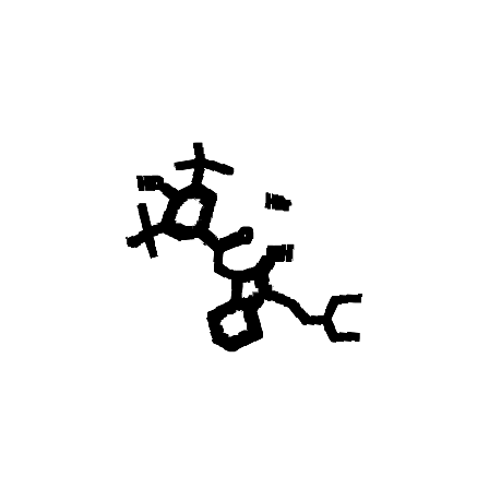 Br.CCC(CC)CCn1c(=N)n(CC(=O)c2cc(C(C)(C)C)c(O)c(C(C)(C)C)c2)c2ccccc21